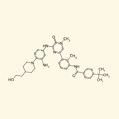 Cc1c(NC(=O)c2ccc(C(C)(C)C)cc2)cccc1-c1cn(C)c(=O)c(Nc2ccc(N3CCC(CCO)CC3)c(N)c2)n1